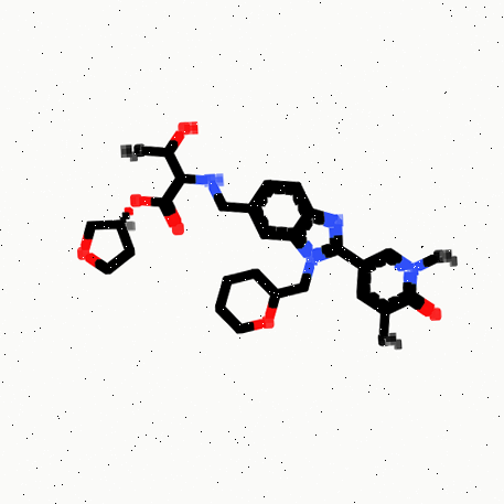 Cc1cc(-c2nc3ccc(CNC(C(=O)O[C@@H]4CCOC4)C(C)O)cc3n2CC2CCCCO2)cn(C)c1=O